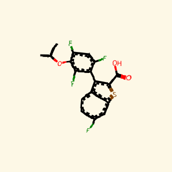 CC(C)Oc1c(F)cc(F)c(-c2c(C(=O)O)sc3cc(F)ccc23)c1F